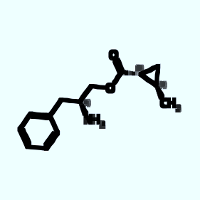 C[C@@H]1C[C@H]1C(=O)OC[C@@H](N)Cc1ccccc1